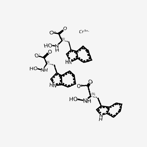 O=C([O-])[C@H](Cc1c[nH]c2ccccc12)NO.O=C([O-])[C@H](Cc1c[nH]c2ccccc12)NO.O=C([O-])[C@H](Cc1c[nH]c2ccccc12)NO.[Cr+3]